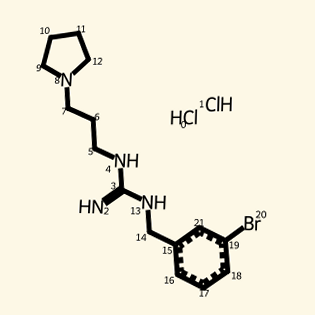 Cl.Cl.N=C(NCCCN1CCCC1)NCc1cccc(Br)c1